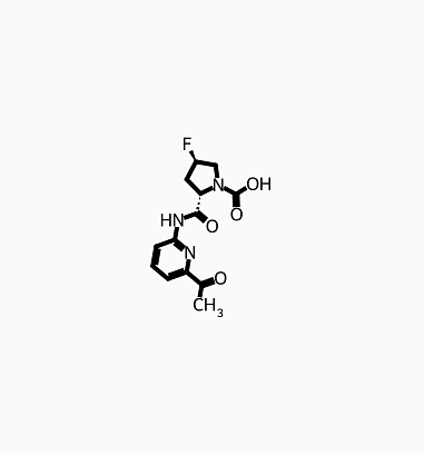 CC(=O)c1cccc(NC(=O)[C@@H]2C[C@@H](F)CN2C(=O)O)n1